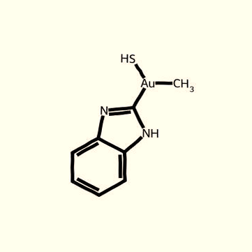 [CH3][Au]([SH])[c]1nc2ccccc2[nH]1